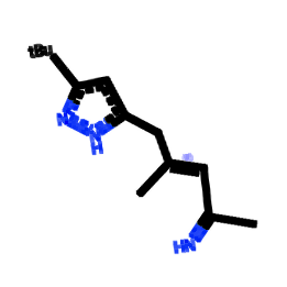 CC(=N)/C=C(\C)Cc1cc(C(C)(C)C)n[nH]1